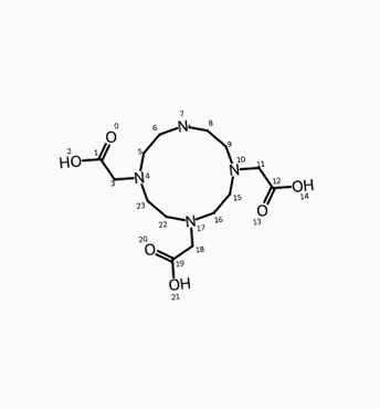 O=C(O)CN1CC[N]CCN(CC(=O)O)CCN(CC(=O)O)CC1